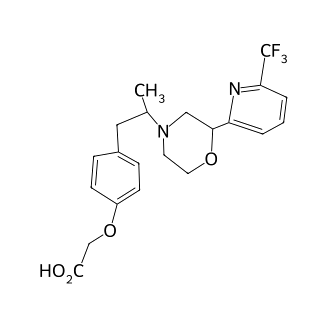 CC(Cc1ccc(OCC(=O)O)cc1)N1CCOC(c2cccc(C(F)(F)F)n2)C1